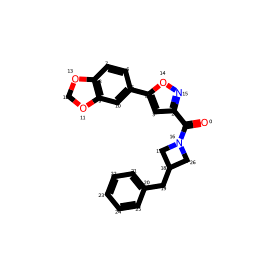 O=C(c1cc(-c2ccc3c(c2)OCO3)on1)N1CC(Cc2ccccc2)C1